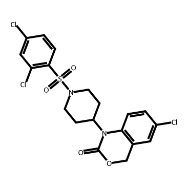 O=C1OCc2cc(Cl)ccc2N1C1CCN(S(=O)(=O)c2ccc(Cl)cc2Cl)CC1